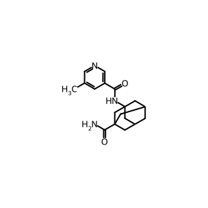 Cc1cncc(C(=O)NC23CC4CC(C2)CC(C(N)=O)(C4)C3)c1